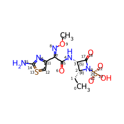 CC[C@@H]1[C@H](NC(=O)C(=NOC)c2csc(N)n2)C(=O)N1S(=O)(=O)O